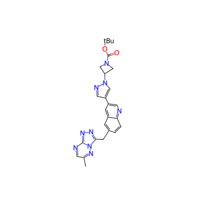 Cc1cnc2nnc(Cc3ccc4ncc(-c5cnn(C6CN(C(=O)OC(C)(C)C)C6)c5)cc4c3)n2n1